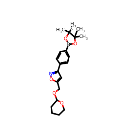 CC1(C)OB(c2ccc(-c3cc(COC4CCCCO4)on3)cc2)OC1(C)C